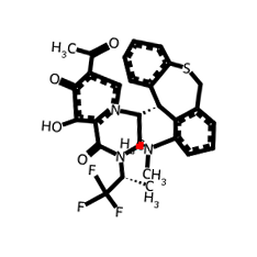 CC(=O)c1cn2c(c(O)c1=O)C(=O)N([C@H](C)C(F)(F)F)CC2[C@@H]1c2ccccc2SCc2cccc(N(C)C)c21